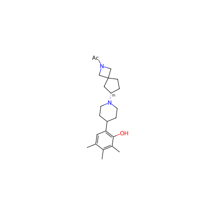 CC(=O)N1CC2(CC[C@H](N3CCC(c4cc(C)c(C)c(C)c4O)CC3)C2)C1